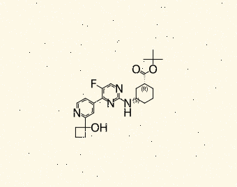 CC(C)(C)OC(=O)[C@@H]1CCC[C@H](Nc2ncc(F)c(-c3ccnc(C4(O)CCC4)c3)n2)C1